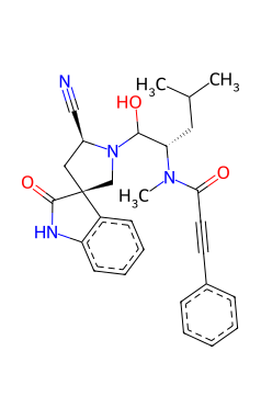 CC(C)C[C@@H](C(O)N1C[C@]2(C[C@H]1C#N)C(=O)Nc1ccccc12)N(C)C(=O)C#Cc1ccccc1